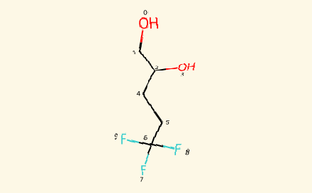 OCC(O)CCC(F)(F)F